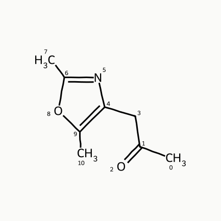 CC(=O)Cc1nc(C)oc1C